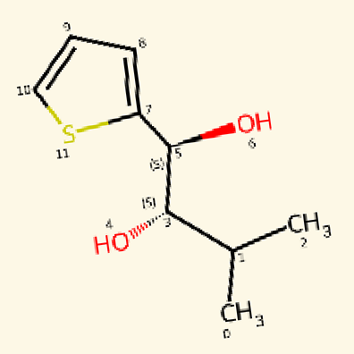 CC(C)[C@H](O)[C@H](O)c1cccs1